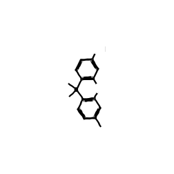 Cc1ccc2c(c1)Sc1cc(S)ccc1C2(C)C